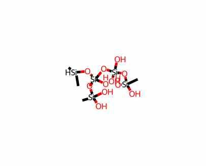 C[SiH](C)O[Si](O)(O[Si](C)(O)O)O[Si](O)(O)O[Si](C)(O)O